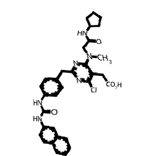 CN(CC(=O)NC1CCCC1)c1nc(Cc2ccc(NC(=O)Nc3ccc4ccccc4c3)cc2)nc(Cl)c1CC(=O)O